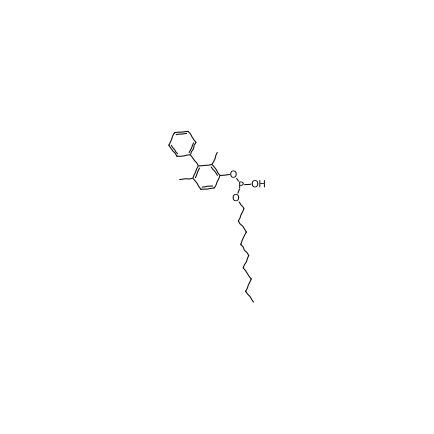 CCCCCCCCCOP(O)Oc1ccc(C)c(-c2ccccc2)c1C